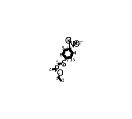 CCOP(C)CSc1ccc([N+](=O)[O-])cc1